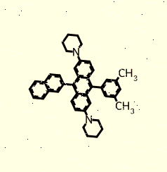 Cc1cc(C)cc(-c2c3ccc(N4CCCCC4)cc3c(-c3ccc4ccccc4c3)c3ccc(N4CCCCC4)cc23)c1